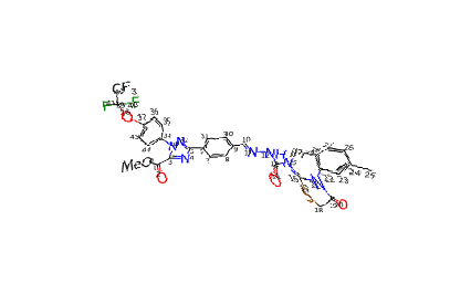 COC(=O)c1nc(-c2ccc(/C=N/NC(=O)/N=C3\SCC(=O)N3c3cc(C)ccc3C(C)C)cc2)nn1-c1ccc(OC(F)(F)C(F)(F)F)cc1